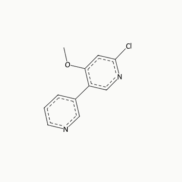 COc1cc(Cl)ncc1-c1cccnc1